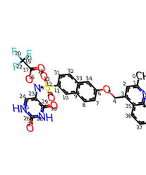 Cc1cc(COc2ccc3cc(S(=O)(=O)N(OC(=O)C(F)(F)F)c4c[nH]c(=O)[nH]c4=O)ccc3c2)c2ccccc2n1